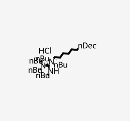 CCCCCCCCCCCCCCCC[N+](CCCC)(CCCC)C(NCCCC)=[N+](CCCC)CCCC.Cl